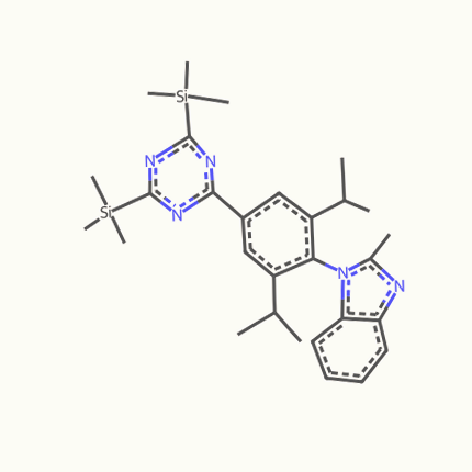 Cc1nc2ccccc2n1-c1c(C(C)C)cc(-c2nc([Si](C)(C)C)nc([Si](C)(C)C)n2)cc1C(C)C